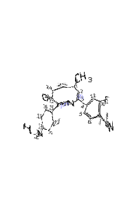 CC1/C=C(c2ccc(C#N)c(F)c2)\N=C(\C2CCC(N)CC2)C(=O)CC1